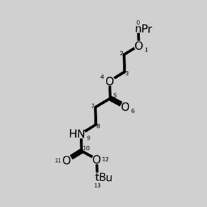 CCCOCCOC(=O)CCNC(=O)OC(C)(C)C